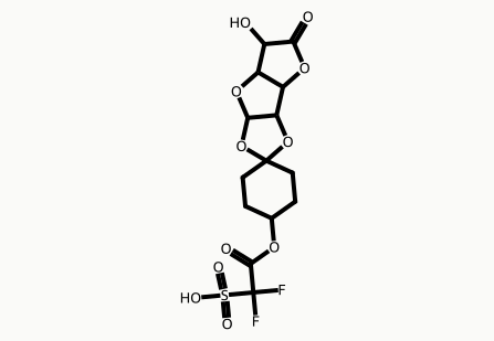 O=C1OC2C3OC4(CCC(OC(=O)C(F)(F)S(=O)(=O)O)CC4)OC3OC2C1O